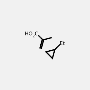 C=C(C)C(=O)O.CCC1CC1